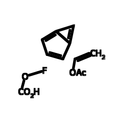 C=COC(C)=O.O=C(O)OF.c1cc2cc-2c1